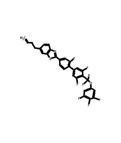 C=CCCc1ccc2nc(-c3ccc(-c4cc(F)c(C(F)(F)Oc5cc(F)c(F)c(F)c5)c(F)c4)c(F)c3)sc2c1